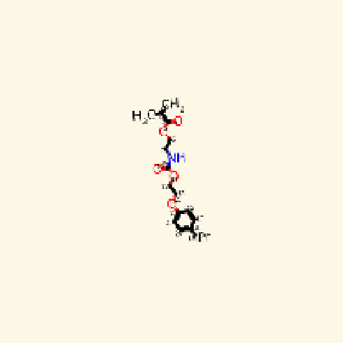 C=C(C)C(=O)OCCNC(=O)OCCOc1ccc(C(C)C)cc1